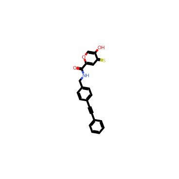 O=C(NCc1ccc(C#Cc2ccccc2)cc1)c1cc(=S)c(O)co1